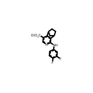 CCOC(=O)c1cnc(Nc2ccc(F)c(F)c2)c2c1C1CCC2C1